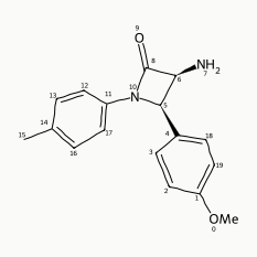 COc1ccc([C@@H]2[C@H](N)C(=O)N2c2ccc(C)cc2)cc1